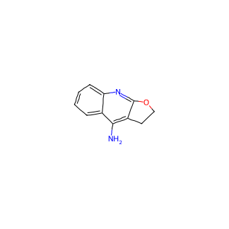 Nc1c2c(nc3ccccc13)OCC2